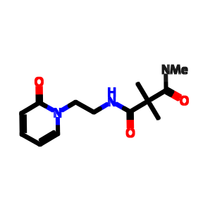 CNC(=O)C(C)(C)C(=O)NCCn1ccccc1=O